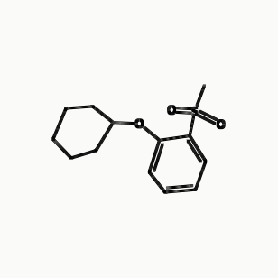 CS(=O)(=O)c1ccccc1OC1CCCCC1